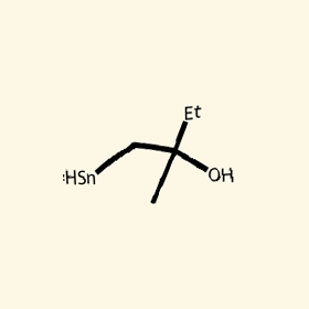 CCC(C)(O)[CH2][SnH]